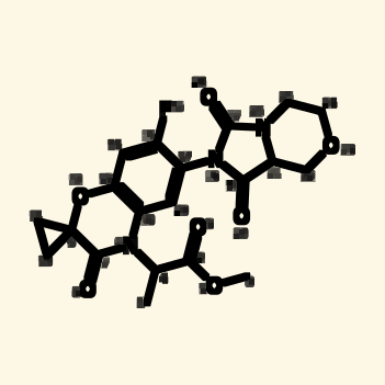 COC(=O)C(C)N1C(=O)C2(CC2)Oc2cc(F)c(N3C(=O)C4COCCN4C3=O)cc21